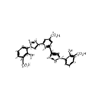 O=C(O)c1cc(-c2cn(-c3cccc(C(=O)O)c3O)nn2)nc(-c2cn(-c3cccc(C(=O)O)c3O)nn2)c1